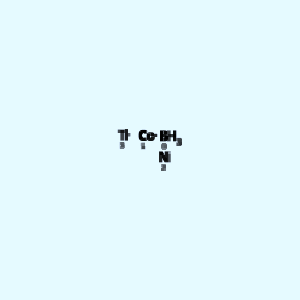 B.[Co].[Ni].[Tl]